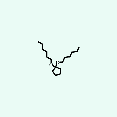 CCCCCCOC1(OCCCCCC)CCCC1